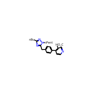 CCCCCn1nc(CCCC)nc1Cc1ccc(-c2ccncc2C(=O)O)cc1